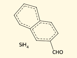 O=Cc1ccc2ccccc2c1.[SiH4]